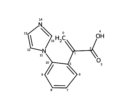 C=C(C(=O)O)c1ccccc1-n1ccnc1